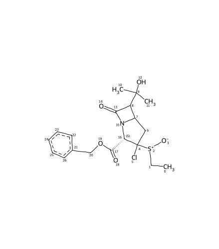 CC[S+]([O-])C1(Cl)CC2C(C(C)(C)O)C(=O)N2[C@H]1C(=O)OCc1ccccc1